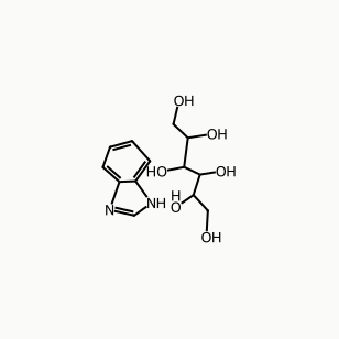 OCC(O)C(O)C(O)C(O)CO.c1ccc2[nH]cnc2c1